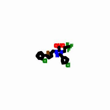 O=CC1N(Cc2ccc(-c3ccccc3Cl)s2)N=C(c2ccc(Cl)cc2)N1C[C@H](O)C(F)(F)F